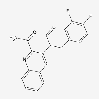 NC(=O)c1nc2ccccc2cc1C(C=O)Cc1ccc(F)c(F)c1